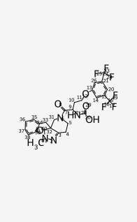 CN1N=C2CCN(C(=O)C(CCOc3cc(C(F)(F)F)cc(C(F)(F)F)c3)NC(=O)O)CC2(Cc2ccccc2)C1=O